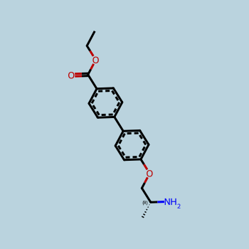 CCOC(=O)c1ccc(-c2ccc(OC[C@@H](C)N)cc2)cc1